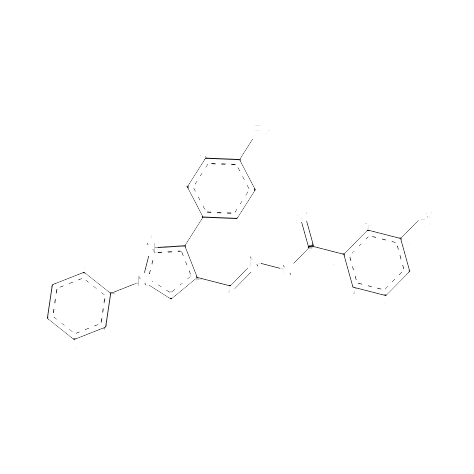 O=C(N/N=C/c1cn(-c2ccccc2)nc1-c1ccc(F)cc1)c1cccc(Br)c1